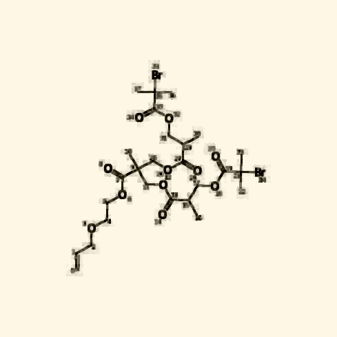 C=CCOCCOC(=O)C(C)(COC(=O)C(C)COC(=O)C(C)(C)Br)COC(=O)C(C)COC(=O)C(C)(C)Br